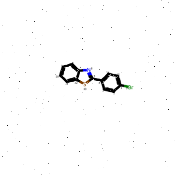 Brc1ccc(-c2nc3ccccc3s2)cc1